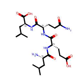 CC(C)C[C@H](NC(=O)[C@H](CCC(N)=O)NC(=O)[C@H](CCC(=O)O)NC(=O)[C@@H](N)CC(C)C)C(=O)O